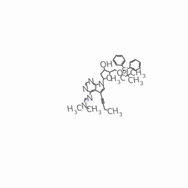 CCC#Cc1cn(C2CC(O)C(CO[Si](c3ccccc3)(c3ccccc3)C(C)(C)C)O2)c2ncnc(/N=C/N(C)C)c12